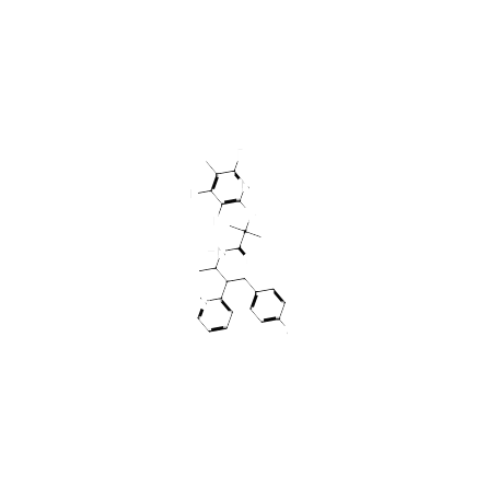 Cc1c(F)nc(OC(C)(C)C(=O)NC(C)C(Cc2ccc(Cl)cc2)c2ccccn2)c(F)c1F